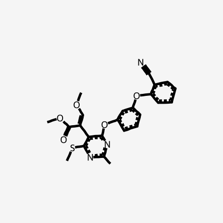 COC=C(C(=O)OC)c1c(Oc2cccc(Oc3ccccc3C#N)c2)nc(C)nc1SC